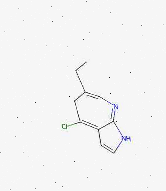 CCC1=CN=c2[nH]ccc2=C(Cl)C1